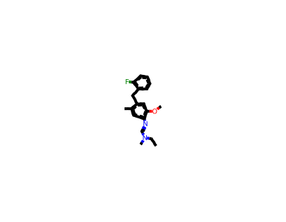 CCN(C)C=Nc1cc(C)c(Cc2ccccc2F)cc1OC